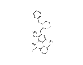 CCc1cccc(CC)c1-c1ncc(CN2CCCCC2Cc2ccccc2)c(OC)c1C